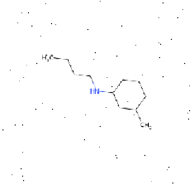 CCCCNC1CCCC(C)C1